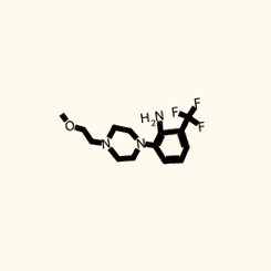 COCCN1CCN(c2cccc(C(F)(F)F)c2N)CC1